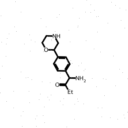 CCC(=O)C(N)c1ccc(C2CNCCO2)cc1